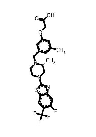 Cc1cc(CN2CCN(c3nc4cc(F)c(C(F)(F)F)cc4s3)C[C@H]2C)cc(OCC(=O)O)c1